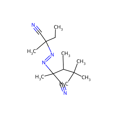 CCC(C)(C#N)N=NC(C)(C#N)C(C)C(C)(C)C